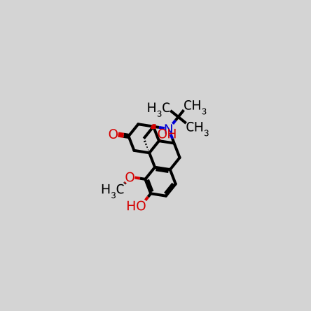 COc1c(O)ccc2c1[C@]13CCN(C(C)(C)C)C(C2)[C@]1(O)CCC(=O)C3